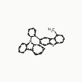 Cc1cccc2sc3ccc(-c4ccccc4-n4c5ccccc5c5ccccc54)cc3c12